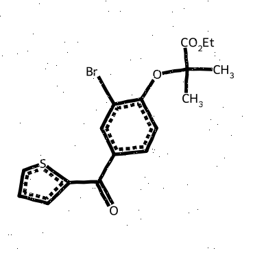 CCOC(=O)C(C)(C)Oc1ccc(C(=O)c2cccs2)cc1Br